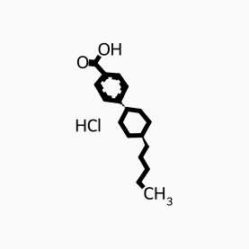 CCCCC[C@H]1CC[C@H](c2ccc(C(=O)O)cc2)CC1.Cl